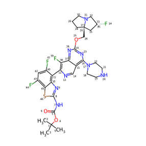 CC(C)(C)OC(=O)Nc1nc2c(-c3ncc4c(N5CCNCC5)nc(OC[C@@]56CCCN5C[C@H](F)C6)nc4c3F)c(F)cc(F)c2s1